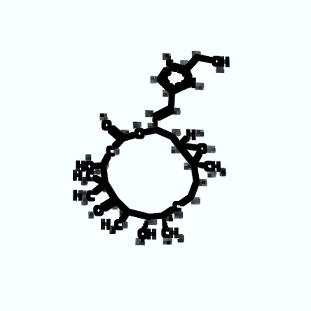 CC1C(=O)C(C)(C)C(O)CC(=O)O[C@H](C=Cc2csc(CO)n2)C[C@@H]2O[C@]2(C)CCC[C@H](C)[C@@H]1O